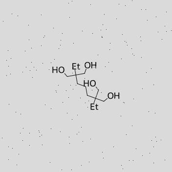 CCC(CO)(CO)CCCC(CC)(CO)CO